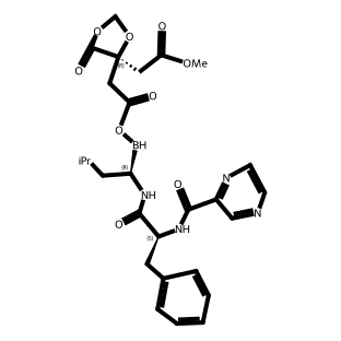 COC(=O)C[C@@]1(CC(=O)OB[C@H](CC(C)C)NC(=O)[C@H](Cc2ccccc2)NC(=O)c2cnccn2)OCOC1=O